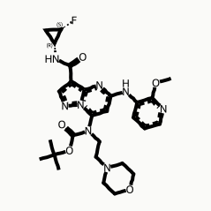 COc1ncccc1Nc1cc(N(CCN2CCOCC2)C(=O)OC(C)(C)C)n2ncc(C(=O)N[C@@H]3C[C@@H]3F)c2n1